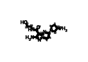 Nc1nn2ccc(N3CCC(P)C3)nc2c1C(=O)NCCO